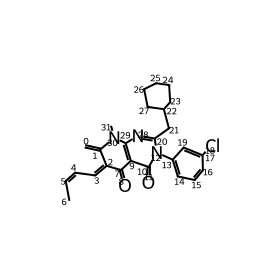 C=c1/c(=C\C=C/C)c(=O)c2c(=O)n(-c3cccc(Cl)c3)c(CC3CCCCC3)nc2n1C